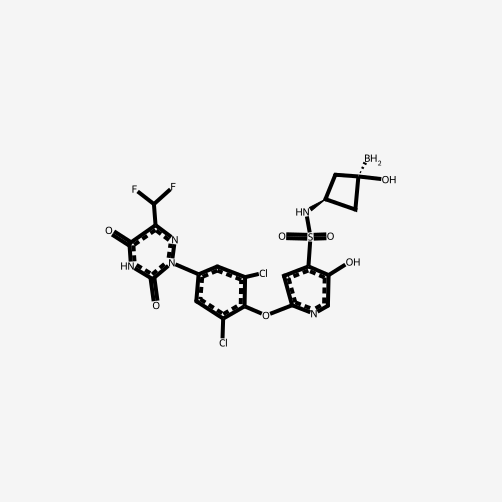 B[C@]1(O)C[C@@H](NS(=O)(=O)c2cc(Oc3c(Cl)cc(-n4nc(C(F)F)c(=O)[nH]c4=O)cc3Cl)ncc2O)C1